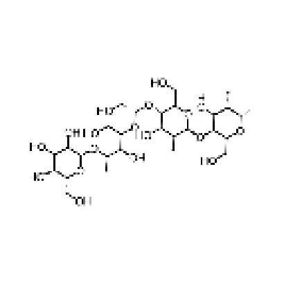 C[C@@H]1OC(CO)[C@@H](O[C@@H]2OC(CO)[C@@H](O[C@@H](CO)OC(CO)[C@@H](O)[C@@H](C)O[C@H]3O[C@H](CO)[C@@H](O)C(O)C3O)C(O)[C@@H]2C)C(O)[C@@H]1C